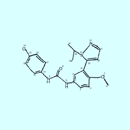 COc1ccc(NC(=O)Nc2ccc(Cl)cc2)cc1-c1ccnn1C(C)C